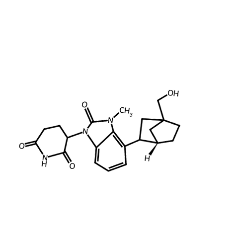 Cn1c(=O)n(C2CCC(=O)NC2=O)c2cccc(C3CC4(CO)CC[C@H]3C4)c21